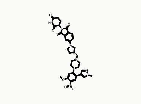 COc1cc(N2CCN(C[C@@H]3CCN(c4ccc5c(c4)C(=O)N(C4CCC(=O)NC4=O)C5=O)C3)CC2)c(-c2cnn(C)c2)cc1[N+](=O)[O-]